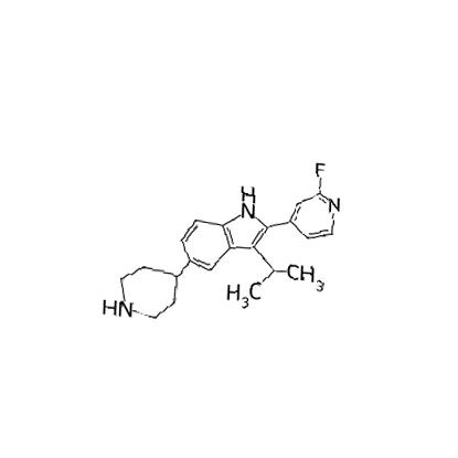 CC(C)c1c(-c2ccnc(F)c2)[nH]c2ccc(C3CCNCC3)cc12